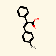 Cc1ccc(/C=C(\C(=O)O)c2ccccc2)cc1